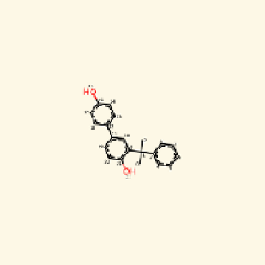 CC(C)(c1ccccc1)c1cc(-c2ccc(O)cc2)ccc1O